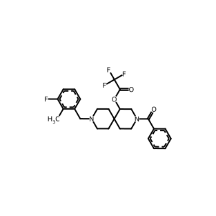 Cc1c(F)cccc1CN1CCC2(CC1)CCN(C(=O)c1ccccc1)CC2OC(=O)C(F)(F)F